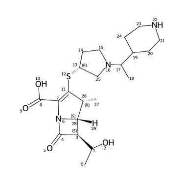 CC(O)[C@H]1C(=O)N2C(C(=O)O)=C(S[C@@H]3CCN(C(C)C4CCNCC4)C3)[C@H](C)[C@H]12